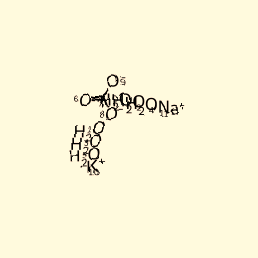 O.O.O.O.O.O.O=C([O-])[O-].[K+].[Na+]